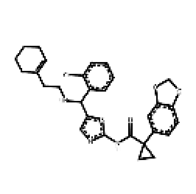 O=C(Nc1ncc(C(NCCC2=CCCCC2)c2ccccc2Cl)s1)C1(c2ccc3c(c2)OCO3)CC1